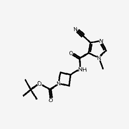 Cn1cnc(C#N)c1C(=O)NC1CN(C(=O)OC(C)(C)C)C1